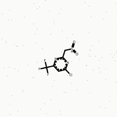 O=[SH](=O)Cc1nc(Cl)cc(C(F)(F)F)n1